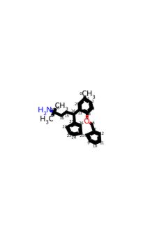 Cc1ccc(OCc2ccccc2)c(C(CCC(C)(C)N)c2ccccc2)c1